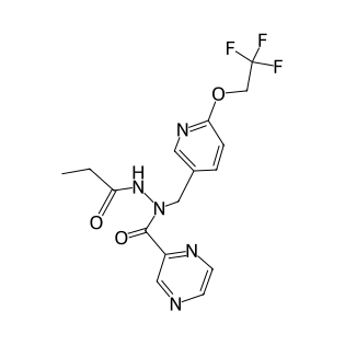 CCC(=O)NN(Cc1ccc(OCC(F)(F)F)nc1)C(=O)c1cnccn1